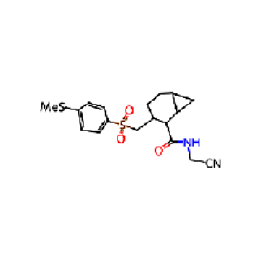 CSc1ccc(S(=O)(=O)CC2CCC3CC3C2C(=O)NCC#N)cc1